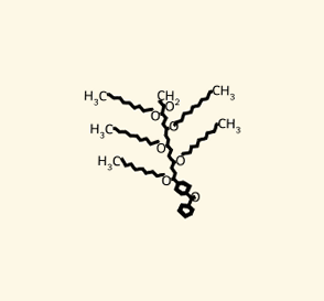 C=CC(=O)C(CCC(CCC(CCC(CCC(OCCCCCCCCCC)c1ccc(C(=O)c2ccccc2)cc1)OCCCCCCCCCC)OCCCCCCCCCC)OCCCCCCCCCC)OCCCCCCCCCC